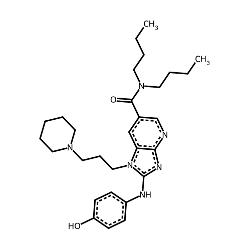 CCCCN(CCCC)C(=O)c1cnc2nc(Nc3ccc(O)cc3)n(CCCN3CCCCC3)c2c1